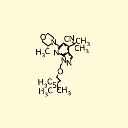 C[C@@H]1COCCN1c1cc(C(C)(C)C#N)c2cnn(COCC[Si](C)(C)C)c2n1